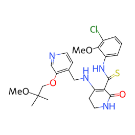 COc1c(Cl)cccc1NC(=S)C1=C(NCc2ccncc2OCC(C)(C)OC)CCNC1=O